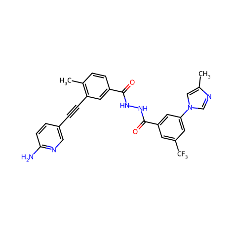 Cc1cn(-c2cc(C(=O)NNC(=O)c3ccc(C)c(C#Cc4ccc(N)nc4)c3)cc(C(F)(F)F)c2)cn1